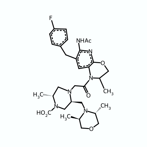 CC(=O)Nc1nc2c(cc1Cc1ccc(F)cc1)N(C(=O)CN1C[C@@H](C)N(C(=O)O)C[C@@H]1CN1[C@H](C)COC[C@H]1C)C(C)CO2